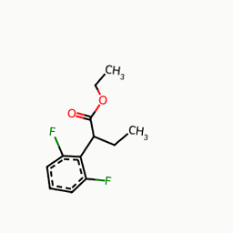 CCOC(=O)C(CC)c1c(F)cccc1F